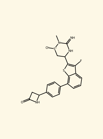 CN1C(=N)NC(c2sc3c(-c4ccc(C5CC(=O)N5)cc4)cccc3c2F)C[S+]1[O-]